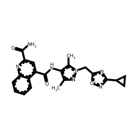 Cc1nn(Cc2nc(C3CC3)no2)c(C)c1NC(=O)c1cc(C(N)=O)nc2ccccc12